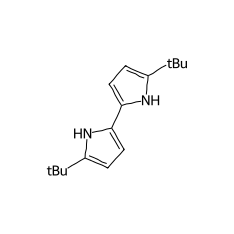 CC(C)(C)c1ccc(-c2ccc(C(C)(C)C)[nH]2)[nH]1